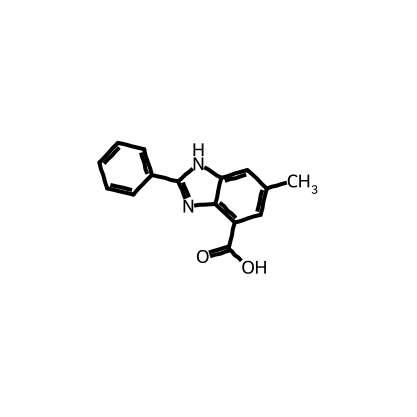 Cc1cc(C(=O)O)c2nc(-c3ccccc3)[nH]c2c1